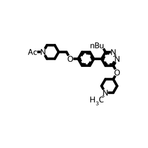 CCCCc1nnc(OC2CCN(C)CC2)cc1-c1ccc(OCC2CCN(C(C)=O)CC2)cc1